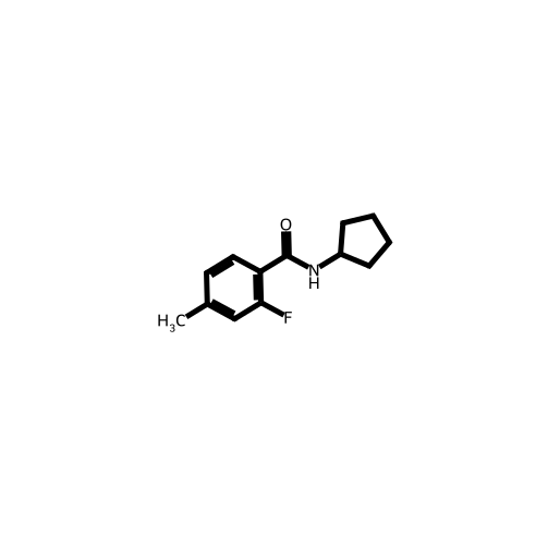 Cc1ccc(C(=O)NC2CCCC2)c(F)c1